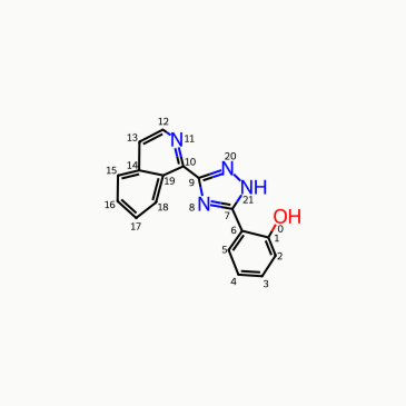 Oc1ccccc1-c1nc(-c2nccc3ccccc23)n[nH]1